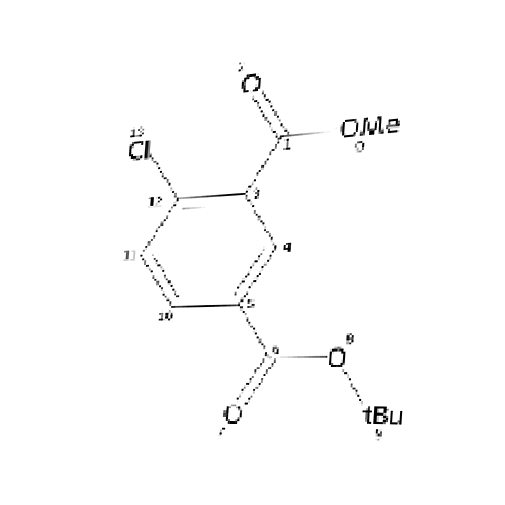 COC(=O)c1cc(C(=O)OC(C)(C)C)ccc1Cl